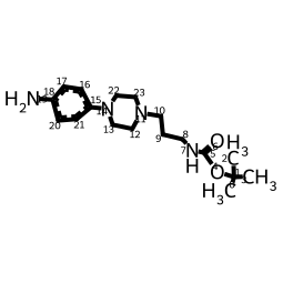 CC(C)(C)OC(=O)NCCCN1CCN(c2ccc(N)cc2)CC1